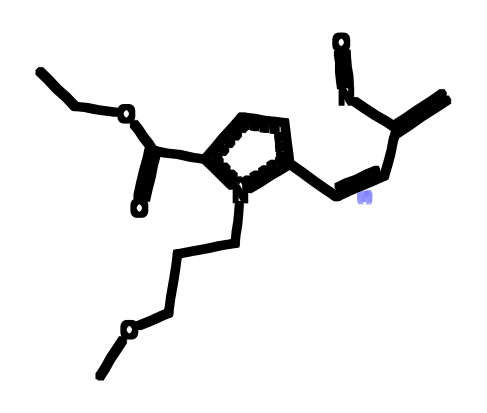 C=C(/C=C\c1ccc(C(=O)OCC)n1CCCOC)N=O